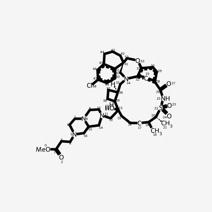 COC(=O)CCN1CCN2CCN(CC3(O)CCCC(C)[C@@H](C)S(=O)(=O)NC(=O)c4ccc5c(c4)N(C[C@@H]4CC[C@H]43)C[C@@]3(CCCc4cc(Cl)ccc43)CO5)CC2C1